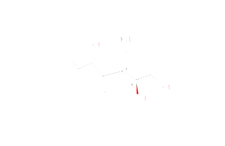 OC[C@@H](O)[C@@H](O)[C@H](O)[C@@H](O)C=S.[KH]